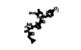 COC(=O)C(C)C[C@H](Cc1ncc(C(F)(F)F)cn1)NC(=O)c1csc(C(CC(C(C)C)N(C)C(=O)CC2CC2)OC(C)=O)n1